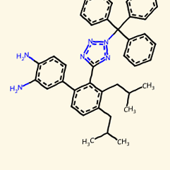 CC(C)Cc1ccc(-c2ccc(N)c(N)c2)c(-c2nnn(C(c3ccccc3)(c3ccccc3)c3ccccc3)n2)c1CC(C)C